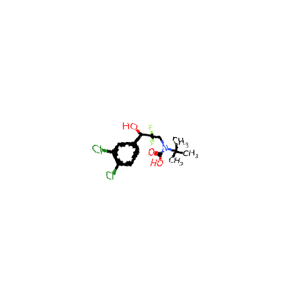 CC(C)(C)N(CC(F)(F)C(O)c1ccc(Cl)c(Cl)c1)C(=O)O